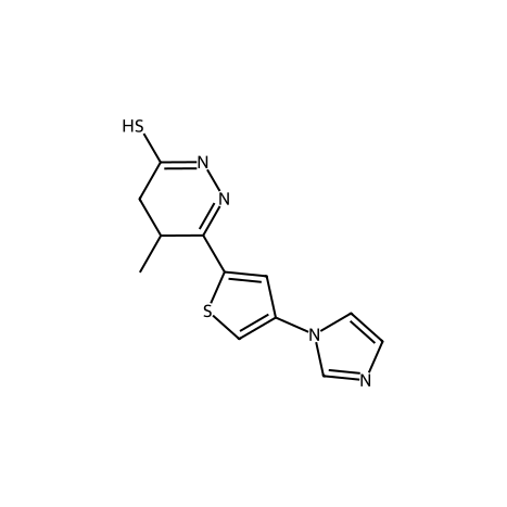 CC1CC(S)=NN=C1c1cc(-n2ccnc2)cs1